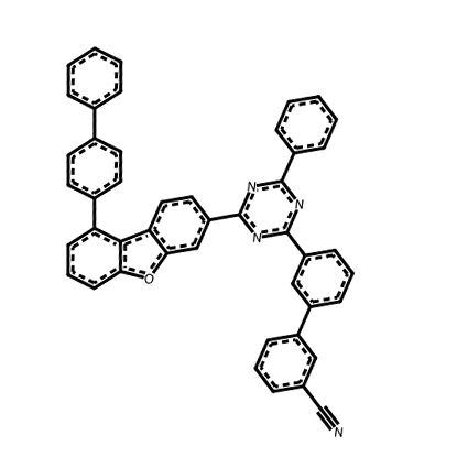 N#Cc1cccc(-c2cccc(-c3nc(-c4ccccc4)nc(-c4ccc5c(c4)oc4cccc(-c6ccc(-c7ccccc7)cc6)c45)n3)c2)c1